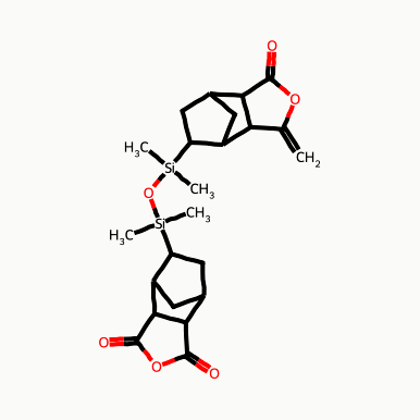 C=C1OC(=O)C2C3CC(C12)C([Si](C)(C)O[Si](C)(C)C1CC2CC1C1C(=O)OC(=O)C21)C3